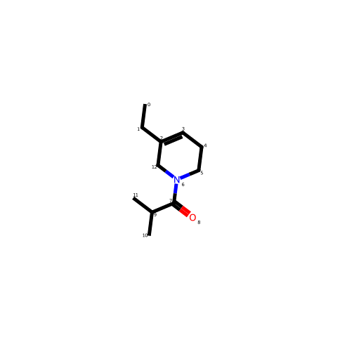 CCC1=CCCN(C(=O)C(C)C)C1